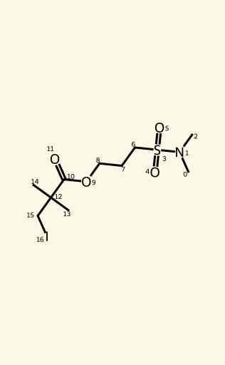 CN(C)S(=O)(=O)CCCOC(=O)C(C)(C)CI